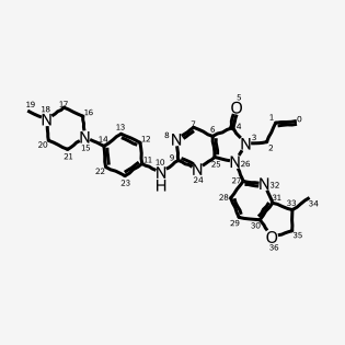 C=CCn1c(=O)c2cnc(Nc3ccc(N4CCN(C)CC4)cc3)nc2n1-c1ccc2c(n1)C(C)CO2